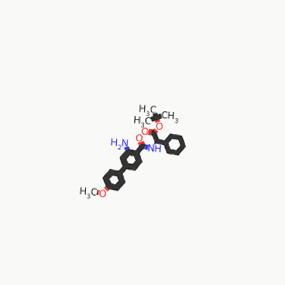 COc1ccc(-c2ccc(C(=O)N[C@H](C(=O)OC(C)(C)C)C3CCCCC3)c(N)c2)cc1